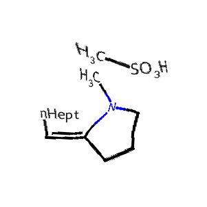 CCCCCCCC=C1CCCN1C.CS(=O)(=O)O